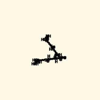 COCCOC(=O)N(CCNC(=O)CCCCCNC(=O)CSCCCCCCOP(=O)(O)OP=N)CCNC(=O)CCCCCNC(=O)CSCCCCCCO[PH](O)(O)OP=N